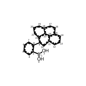 OB(O)c1ccccc1-c1cc2cccc3ccc4cccc1c4c32